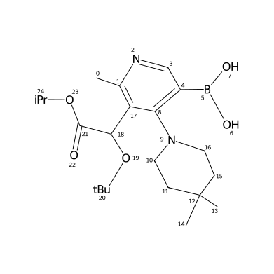 Cc1ncc(B(O)O)c(N2CCC(C)(C)CC2)c1C(OC(C)(C)C)C(=O)OC(C)C